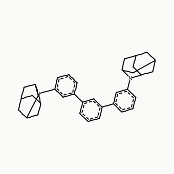 c1cc(-c2cccc(N3C4CC5CC(C4)CC3C5)c2)cc(-c2cccc(N3C4CC5CC(C4)CC3C5)c2)c1